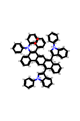 c1ccc(-c2c(N(c3ccccc3)c3ccccc3)c3ccccc3c3cc4c(-c5cn(-c6ccccc6)c6ccccc56)c5ccccc5c(-c5cn(-c6ccccc6)c6ccccc56)c4cc23)cc1